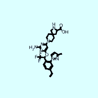 CCc1ccc(C(Oc2cc(N3CCC4(CC3)CNC(C(=O)O)C4)nc(N)n2)C(F)(F)F)c(-n2ccc(C)n2)c1